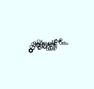 CC[C@H](C)C([C@@H](CC(=O)N1CCC[C@H]1C(OC)C(C)C(=O)N[C@@H](Cc1ccccc1)C(=O)OC)OC)N(C)C(=O)[C@@H](NC(=O)[C@]1(F)CCN(C(=O)OC(C)(C)C)C1)C(C)C